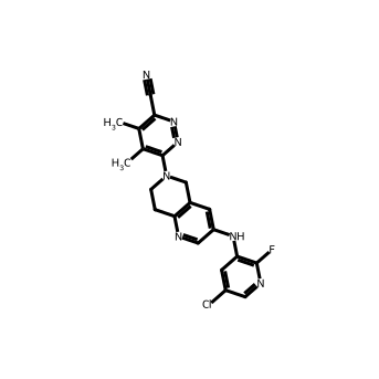 Cc1c(C#N)nnc(N2CCc3ncc(Nc4cc(Cl)cnc4F)cc3C2)c1C